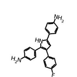 Nc1ccc(-c2cc(-c3ccc(F)cc3)c(-c3ccc(N)cc3)[nH]2)cc1